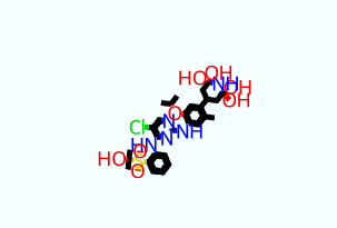 Cc1cc(Nc2ncc(Cl)c(Nc3ccccc3S(=O)(=O)C(C)(C)O)n2)c(OC(C)C)cc1C1CC(O)(O)NC(O)(O)C1